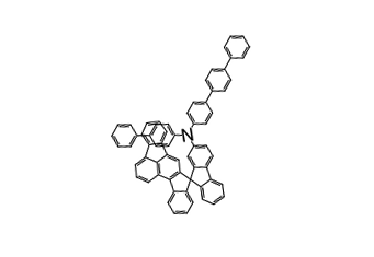 c1ccc(-c2ccc(-c3ccc(N(c4ccc(-c5ccccc5)cc4)c4ccc5c(c4)C4(c6ccccc6-5)c5ccccc5-c5c4cc4c6c(cccc56)-c5ccccc5-4)cc3)cc2)cc1